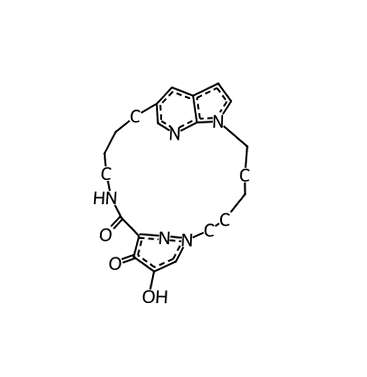 O=C1NCCCCc2cnc3c(ccn3CCCCCn3cc(O)c(=O)c1n3)c2